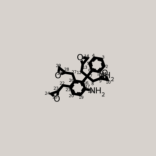 Nc1ccccc1C(CC1CO1)(CC1CO1)c1c(N)ccc(CC2CO2)c1CC1CO1